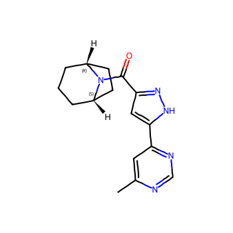 Cc1cc(-c2cc(C(=O)N3[C@@H]4CCC[C@H]3CC4)n[nH]2)ncn1